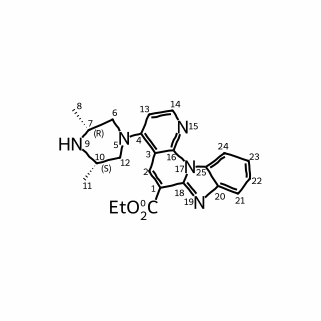 CCOC(=O)c1cc2c(N3C[C@@H](C)N[C@@H](C)C3)ccnc2n2c1nc1ccccc12